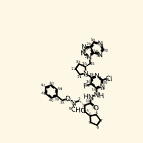 O=CN(C[C@@H](CC1CCCC1)C(=O)NNc1nc(Cl)nc(N2CCC[C@H]2Cn2nnc3cncnc32)c1F)OCc1ccccc1